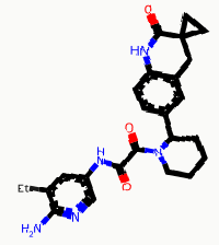 CCc1cc(NC(=O)C(=O)N2CCCCC2c2ccc3c(c2)CC2(CC2)C(=O)N3)cnc1N